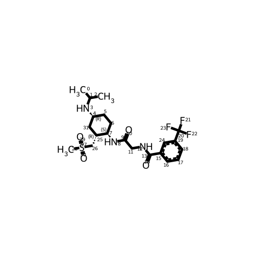 CC(C)N[C@@H]1CC[C@H](NC(=O)CNC(=O)c2cccc(C(F)(F)F)c2)[C@H](CS(C)(=O)=O)C1